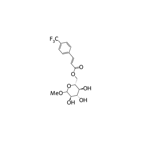 COC1O[C@H](COC(=O)/C=C/c2ccc(C(F)(F)F)cc2)[C@@H](O)[C@H](O)[C@H]1O